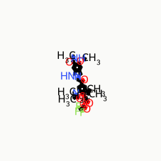 CCOc1cc2c(cc1C(=O)NC)C(=N)N(CC(=O)c1cc(N(C)C(C)=O)c(OCC(=O)OC(=O)C(F)(F)F)c(C(C)(C)C)c1)C2